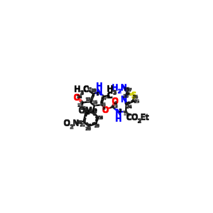 CCOC(=O)C(NC(=O)OC1=C(C)NC(C)=C(C(=O)OC)C1c1cccc([N+](=O)[O-])c1)c1csc(N)n1